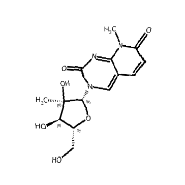 Cn1c(=O)ccc2cn([C@@H]3O[C@H](CO)[C@@H](O)[C@@]3(C)O)c(=O)nc21